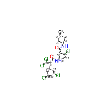 N#Cc1ccc(NC(=O)c2cc(NC(=O)[C@@H]3[C@@H](c4cc(Cl)cc(Cl)c4)C3(Cl)Cl)ccc2Cl)cc1